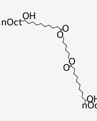 CCCCCCCCC(O)CCCCCCCCC(=O)OCCCCCCOC(=O)CCCCCCCCC(O)CCCCCCCC